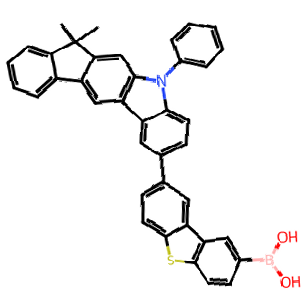 CC1(C)c2ccccc2-c2cc3c4cc(-c5ccc6sc7ccc(B(O)O)cc7c6c5)ccc4n(-c4ccccc4)c3cc21